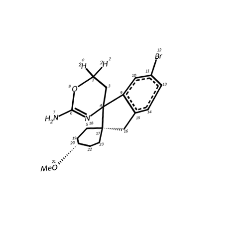 [2H]C1([2H])CC2(N=C(N)O1)c1cc(Br)ccc1C[C@]21CC[C@@H](OC)CC1